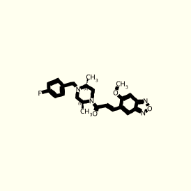 COc1cc2nonc2cc1C=CC(=O)N1C[C@@H](C)N(Cc2ccc(F)cc2)C[C@@H]1C